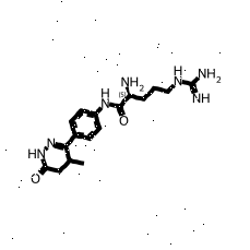 CC1CC(=O)NN=C1c1ccc(NC(=O)[C@@H](N)CCCNC(=N)N)cc1